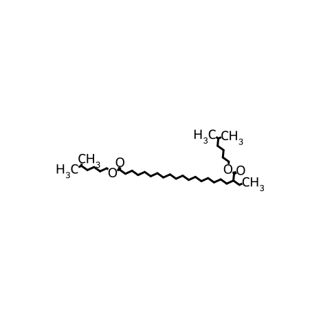 CCC(CCCCCCCCCCCCCCCCCC(=O)OCCCCC(C)C)C(=O)OCCCCC(C)C